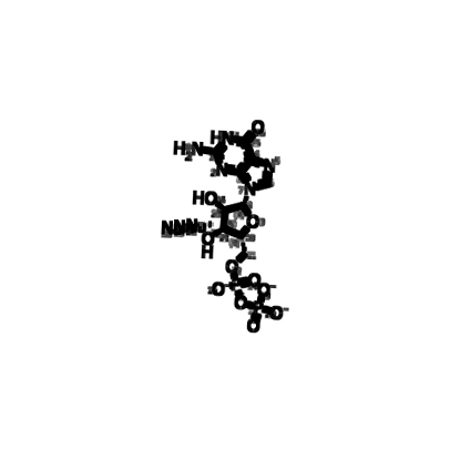 Nc1nc2c(ncn2[C@@H]2O[C@H](COP(=O)([O-])OP(=O)([O-])[O-])[C@@H](O)[C@H]2O)c(=O)[nH]1.[Na+].[Na+].[Na+]